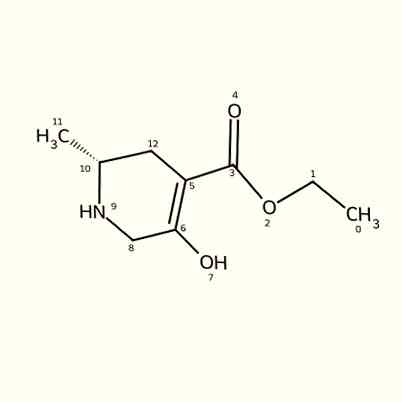 CCOC(=O)C1=C(O)CN[C@H](C)C1